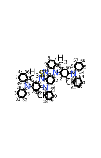 Cc1cc(N(c2ccccc2)c2ccc(N(c3ccccc3)c3cc(C)c(N(c4ccccc4)c4ccccc4)cc3C)c3nsnc23)c(C)cc1N(c1ccccc1)c1ccccc1